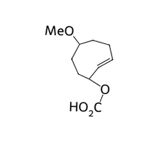 COC1CC/C=C/C(OC(=O)O)CC1